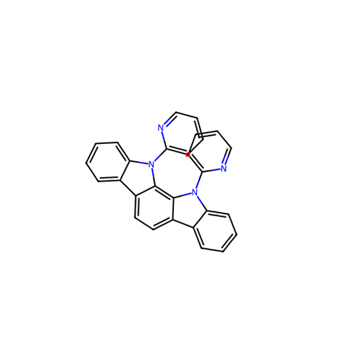 c1ccc(-n2c3ccccc3c3ccc4c5ccccc5n(-c5ccccn5)c4c32)nc1